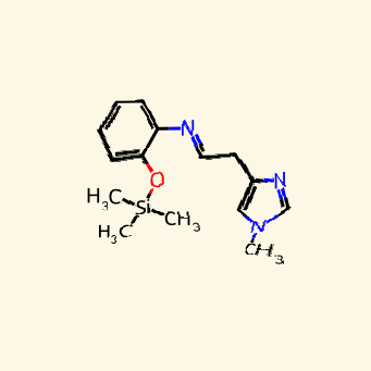 Cn1cnc(CC=Nc2ccccc2O[Si](C)(C)C)c1